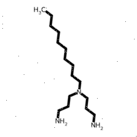 CCCCCCCCCCN(CCCN)CCCN